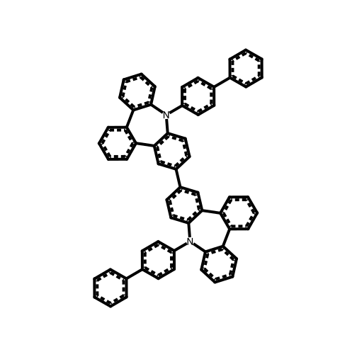 c1ccc(-c2ccc(N3c4ccccc4-c4ccccc4-c4cc(-c5ccc6c(c5)-c5ccccc5-c5ccccc5N6c5ccc(-c6ccccc6)cc5)ccc43)cc2)cc1